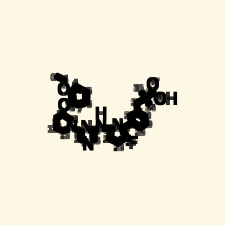 CCOc1ccccc1OC1CCCN(c2cncc(Nc3ccc(F)c(-c4cccc(CC(C)(C)C(=O)O)c4)n3)n2)C1